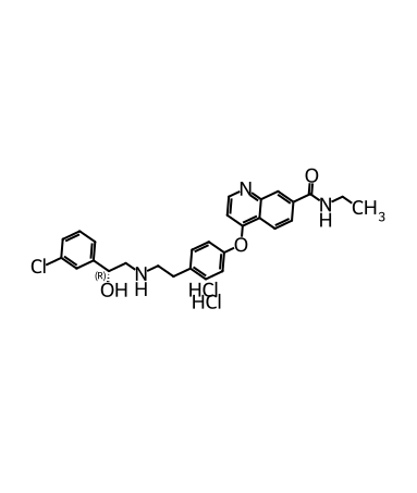 CCNC(=O)c1ccc2c(Oc3ccc(CCNC[C@H](O)c4cccc(Cl)c4)cc3)ccnc2c1.Cl.Cl